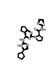 O=C(Nc1nccs1)C1CCCN1c1nc2c(c(Nc3ncc(C4CCCC4)[nH]3)n1)CCC2